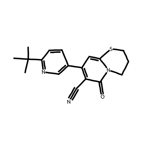 CC(C)(C)c1ccc(-c2cc3n(c(=O)c2C#N)CCCS3)cn1